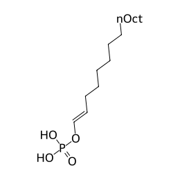 CCCCCCCCCCCCCCC=COP(=O)(O)O